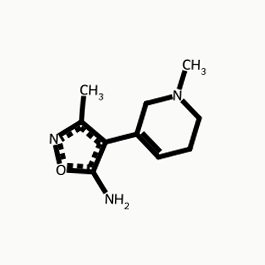 Cc1noc(N)c1C1=CCCN(C)C1